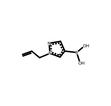 C=CCn1cc(B(O)O)cn1